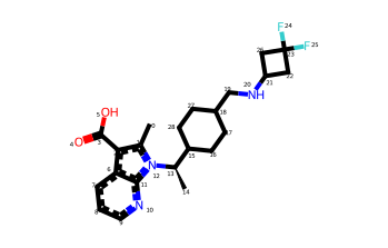 Cc1c(C(=O)O)c2cccnc2n1[C@H](C)C1CCC(CNC2CC(F)(F)C2)CC1